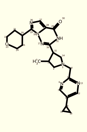 CC1CN(Cc2ncc(C3CC3)cn2)CC1c1nn2c(C3CCOCC3)ncc2c(=O)[nH]1